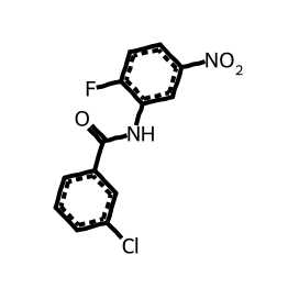 O=C(Nc1cc([N+](=O)[O-])ccc1F)c1cccc(Cl)c1